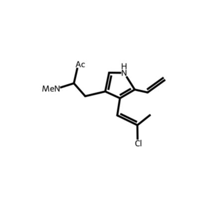 C=Cc1[nH]cc(CC(NC)C(C)=O)c1/C=C(\C)Cl